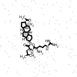 CC(=O)[C@H]1CC[C@H]2[C@@H]3CC[C@H]4C[C@H](OC(=O)[C@H](CC(C)C)NC(=O)[C@@H](N)CCCNC(=N)N)CC[C@]4(C)[C@H]3CC[C@]12C